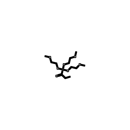 CCC(=O)[Si](OCCOC)(OCCOC)OCCOC